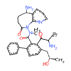 CC(C)C(N)C(=O)c1c(C[C@@H](C)O)ccc(-c2ccccc2)c1C(=O)N(C)N1C(=O)CCC(N)c2cccnc21